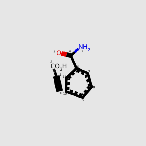 C#CC(=O)O.NC(=O)c1ccccc1